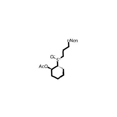 CCCCCCCCCCCC[S@@+]([O-])[C@@H]1CCCC[C@H]1OC(C)=O